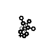 CC1(C)c2ccccc2-c2c1ccc1oc3c(c21)N(c1ccccc1)c1cc(C2CCCCC2)cc2c1N3c1ccc(C3CCCCC3)cc1N2c1ccccc1